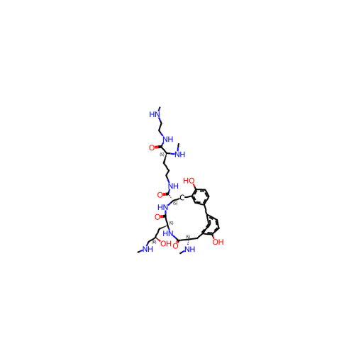 CNCCNC(=O)[C@H](CCCNC(=O)[C@@H]1Cc2cc(ccc2O)-c2ccc(O)c(c2)C[C@H](NC)C(=O)N[C@@H](C[C@@H](O)CNC)C(=O)N1)NC